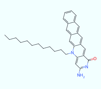 CCCCCCCCCCCCn1c2cc(N)nc(=O)c-2cc2cc3cc4ccccc4cc3cc21